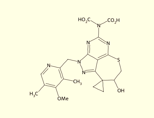 COc1c(C)cnc(Cn2nc3c4c(nc(N(C(=O)O)C(=O)O)nc42)SCC(O)C32CC2)c1C